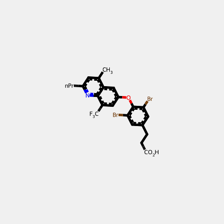 CCCc1cc(C)c2cc(Oc3c(Br)cc(CCC(=O)O)cc3Br)cc(C(F)(F)F)c2n1